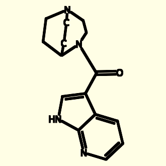 O=C(c1c[nH]c2ncccc12)N1CCN2CCC1CC2